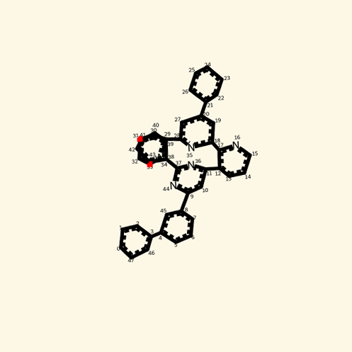 c1ccc(-c2cccc(-c3cc(-c4cccnc4-c4cc(-c5ccccc5)cc(-c5ccccn5)n4)nc(-c4ccccc4)n3)c2)cc1